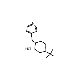 CC(C)(C)[C@H]1CC[C@@H](Cc2ccncc2)CC1.Cl